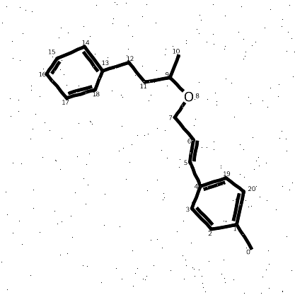 Cc1ccc(/C=C/COC(C)CCc2ccccc2)cc1